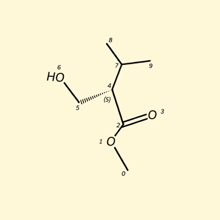 COC(=O)[C@H](CO)C(C)C